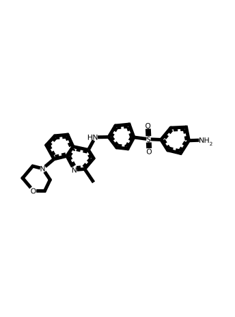 Cc1cc(Nc2ccc(S(=O)(=O)c3ccc(N)cc3)cc2)c2cccc(N3CCOCC3)c2n1